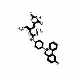 C=N\C(=N/C(=C\C)/C=C1\SC(=O)NC1=O)N[C@H]1CC[C@H](NCc2ccc(F)cc2-c2ccccc2)CC1